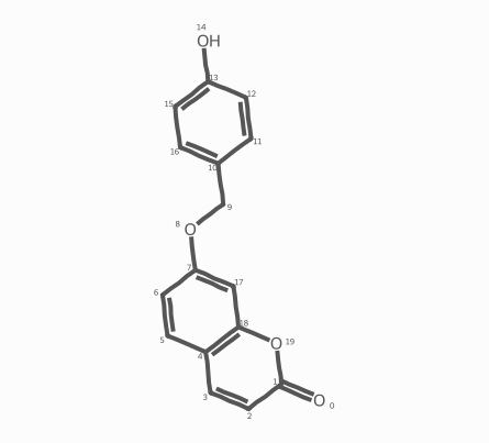 O=c1ccc2ccc(OCc3ccc(O)cc3)cc2o1